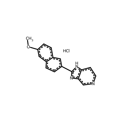 COc1ccc2cc(-c3nc4cnccc4[nH]3)ccc2c1.Cl